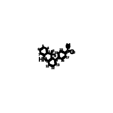 CC1(C)c2ccccc2Nc2cccc(-c3ccc([SH](=O)=O)cc3)c21